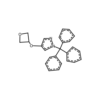 c1ccc(C(c2ccccc2)(c2ccccc2)n2cc(OC3COC3)cn2)cc1